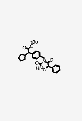 CC(C)(C)OC(=O)C(c1ccc(Cn2c(=O)[nH]nc(-c3ccccc3)c2=O)cc1)C1CCCC1